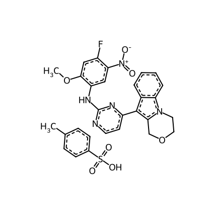 COc1cc(F)c([N+](=O)[O-])cc1Nc1nccc(-c2c3n(c4ccccc24)CCOC3)n1.Cc1ccc(S(=O)(=O)O)cc1